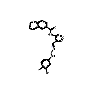 O=C(Nc1nonc1/C=N/ONc1ccc(F)c(Br)c1)c1ccc2ncccc2c1